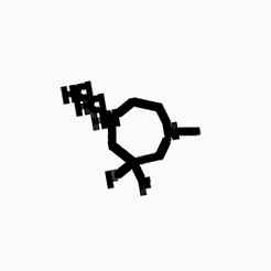 CN1CCNCC(F)(F)C1.Cl.Cl